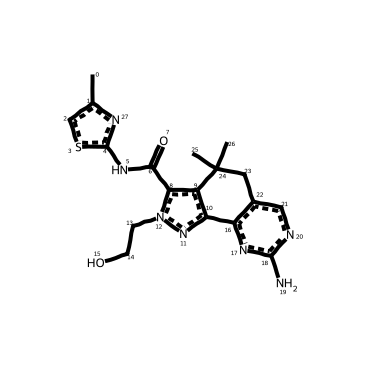 Cc1csc(NC(=O)c2c3c(nn2CCO)-c2nc(N)ncc2CC3(C)C)n1